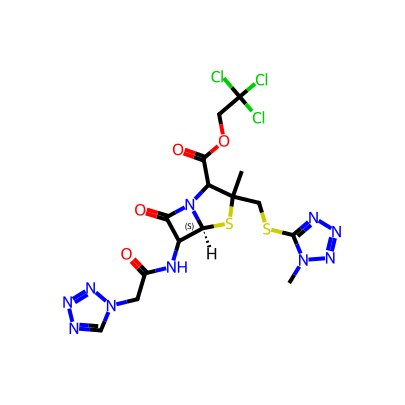 Cn1nnnc1SCC1(C)S[C@H]2C(NC(=O)Cn3cnnn3)C(=O)N2C1C(=O)OCC(Cl)(Cl)Cl